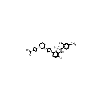 Cc1ccc([C@@H](C)Nc2nc(N3CC([C@H]4CCCN([C@H]5C[C@@H](C(=O)O)C5)C4)C3)ncc2Cl)c(Cl)c1